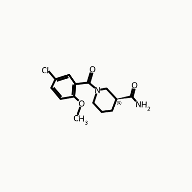 COc1ccc(Cl)cc1C(=O)N1CCC[C@H](C(N)=O)C1